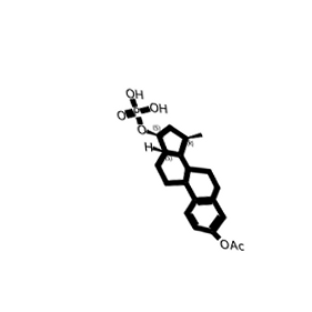 CC(=O)Oc1ccc2c(c1)CCC1C2CC[C@H]2C1[C@H](C)C[C@@H]2OP(=O)(O)O